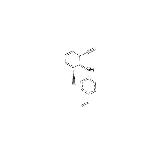 [C]#CC1=CC=CC(C#[C])C1=[SiH]c1ccc(C=C)cc1